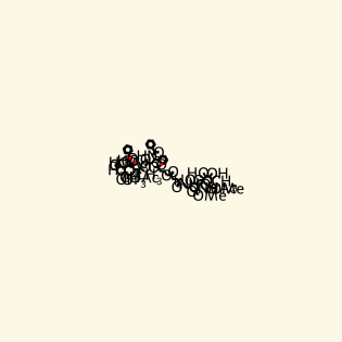 COOC1OC(OC2C(O)C(CNC(=O)CCC(=O)OCCC(=O)O[C@@H](C(=O)O[C@H]3C[C@]4(O)[C@]5(C)C(=C3C)[C@@H](OC(C)=O)C(=O)[C@@]3(C)C([C@@]45OC(=O)c4ccccc4)[C@]4(OC(C)=O)CO[C@@H]4C[C@@H]3O)[C@@H](NC(=O)c3ccccc3)c3ccccc3)OC(OC)C2NC(C)=O)C(O)C(O)C1C